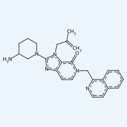 C=C(C)Cn1c(N2CCCC(N)C2)nc2ccn(Cc3nccc4ccccc34)c(=O)c21